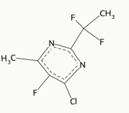 Cc1nc(C(C)(F)F)nc(Cl)c1F